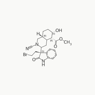 COC(=O)[C@@H]1C2CC([C@@]3(CCBr)C(=O)Nc4ccccc43)N(C#N)C[C@@H]2CC[C@@H]1O